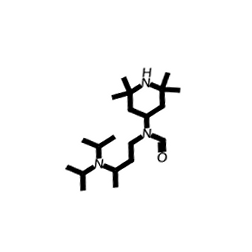 CC(C)N(C(C)C)C(C)CCN(C=O)C1CC(C)(C)NC(C)(C)C1